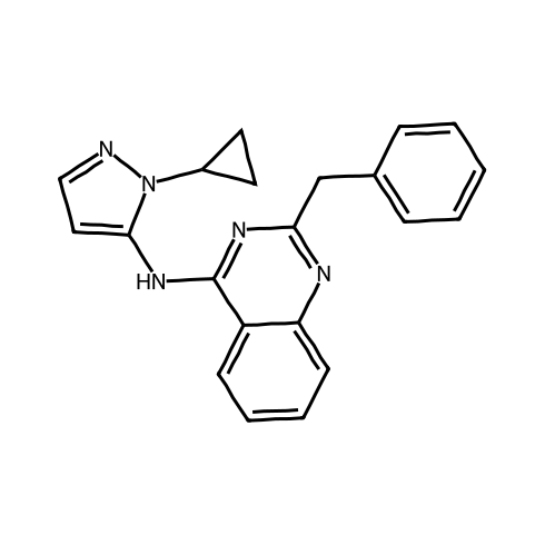 c1ccc(Cc2nc(Nc3ccnn3C3CC3)c3ccccc3n2)cc1